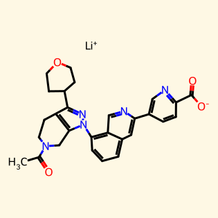 CC(=O)N1CCc2c(C3CCOCC3)nn(-c3cccc4cc(-c5ccc(C(=O)[O-])nc5)ncc34)c2C1.[Li+]